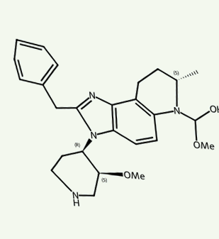 COC(O)N1c2ccc3c(nc(Cc4ccccc4)n3[C@@H]3CCNC[C@@H]3OC)c2CC[C@@H]1C